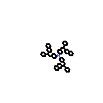 C(=C(\c1ccccc1)c1ccc2ccccc2c1)/c1ccc(N(c2ccc(/C=C(/c3ccccc3)c3ccc4ccccc4c3)cc2)c2ccc(/C=C(/c3ccccc3)c3ccc4ccccc4c3)cc2)cc1